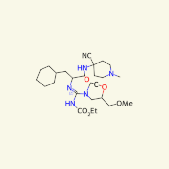 CCOC(=O)N/C(=N/C(CC1CCCCC1)C(=O)NC1(C#N)CCN(C)CC1)N1CCOC(COC)C1